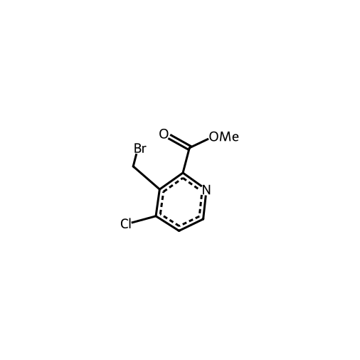 COC(=O)c1nccc(Cl)c1CBr